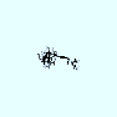 [2H]C([2H])([2H])C(OC(=O)C#CCO[13C](=O)C(C)=O)(C([2H])([2H])[2H])C([2H])([2H])[2H]